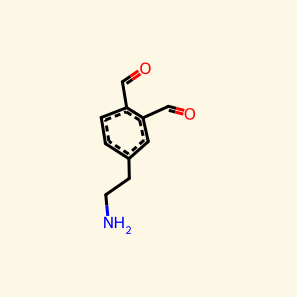 NCCc1ccc(C=O)c(C=O)c1